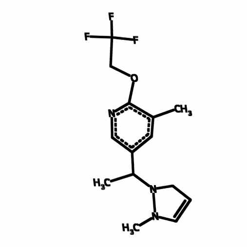 Cc1cc(C(C)N2CC=CN2C)cnc1OCC(F)(F)F